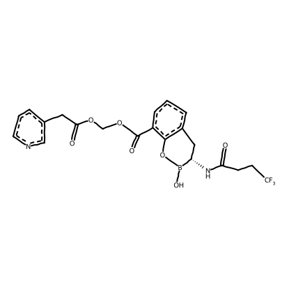 O=C(CCC(F)(F)F)N[C@H]1Cc2cccc(C(=O)OCOC(=O)Cc3cccnc3)c2OB1O